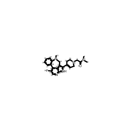 CN(C)C(=O)CN1CC=C(c2[nH]c3ncc(F)c4c3c2CN(C)c2ccccc2-4)CC1